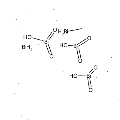 [BiH3].[CH3][BiH2].[O]=[Bi](=[O])[OH].[O]=[Bi](=[O])[OH].[O]=[Bi](=[O])[OH]